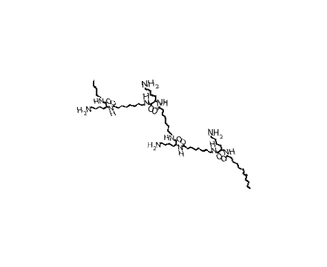 CCCCCCCCCCCC(=O)NC(CCCCN)C(=O)NCCCCCCCC(=O)NC(CCCCN)C(=O)NCCCCCCCC(=O)NC(CCCCN)C(=O)NCCCCCCCC(=O)NC(CCCCN)C(=O)NCCCCC